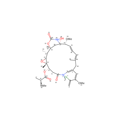 C=C(Cl)/C(=C\C1=C/N(C)C(=O)C[C@H](OC(=O)[C@H](C)NC)[C@]2(C)OC2[C@H](C)[C@@H]2C[C@@](O)(NC(=O)O2)[C@H](OC)/C=C/C=C(\C)C1)OC